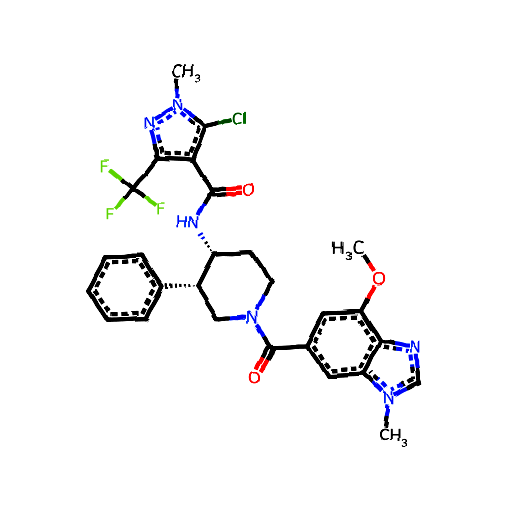 COc1cc(C(=O)N2CC[C@@H](NC(=O)c3c(C(F)(F)F)nn(C)c3Cl)[C@@H](c3ccccc3)C2)cc2c1ncn2C